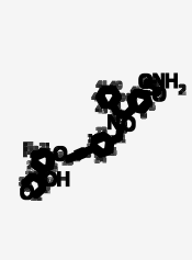 NS(=O)(=O)c1ccc(-c2oc(Cc3ccc(C#CCOc4cc(F)cc(C5(O)CCOCC5)c4)cc3)nc2-c2ccccc2)cc1